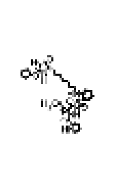 C=C[C@@H]1C[C@@]1(NC(=O)[C@@H]1CCCN1)C(=O)NS(=O)(=O)c1ccccc1NCCCCCCC[C@H](NC(=O)OC1CCCC1)C(=O)O